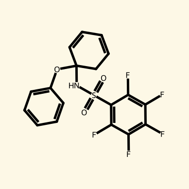 O=S(=O)(NC1(Oc2ccccc2)C=CC=CC1)c1c(F)c(F)c(F)c(F)c1F